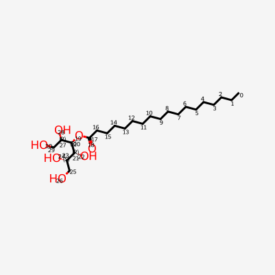 CCCCCCCCCCCCCCCCCC(=O)O[C@@H]([C@H](O)[C@@H](O)CO)[C@H](O)CO